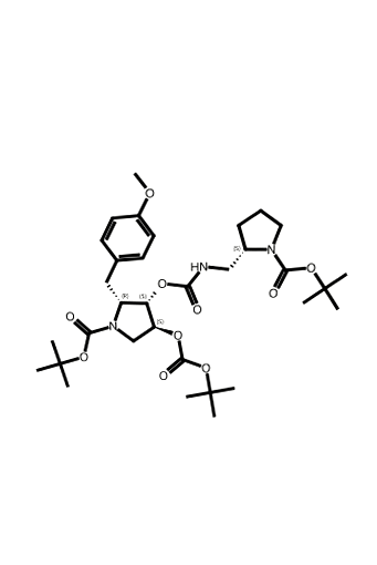 COc1ccc(C[C@@H]2[C@H](OC(=O)NC[C@@H]3CCCN3C(=O)OC(C)(C)C)[C@@H](OC(=O)OC(C)(C)C)CN2C(=O)OC(C)(C)C)cc1